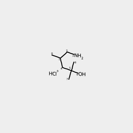 CC(CN)CC(C)(C)O.Cl